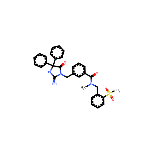 CN(Cc1ccccc1S(C)(=O)=O)C(=O)c1cccc(CN2C(=N)NC(c3ccccc3)(c3ccccc3)C2=O)c1